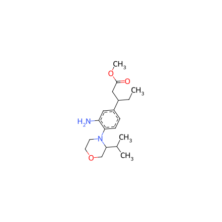 CCC(CC(=O)OC)c1ccc(N2CCOCC2C(C)C)c(N)c1